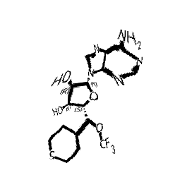 Nc1ncnc2c1ncn2[C@@H]1O[C@H](C(OC(F)(F)F)C2CCSCC2)[C@@H](O)[C@H]1O